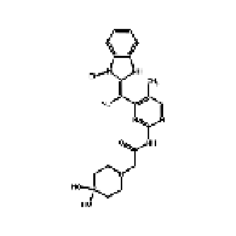 CCN1C(=C(C#N)c2nc(NC(=O)CN3CCS(O)(O)CC3)ncc2C)Nc2ccccc21